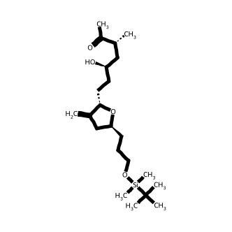 C=C1C[C@H](CCCO[Si](C)(C)C(C)(C)C)O[C@H]1CC[C@@H](O)C[C@@H](C)C(C)=O